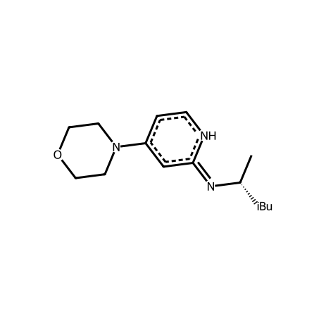 CCC(C)[C@@H](C)/N=c1/cc(N2CCOCC2)cc[nH]1